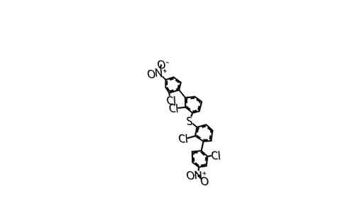 O=[N+]([O-])c1ccc(-c2cccc(Sc3cccc(-c4ccc([N+](=O)[O-])cc4Cl)c3Cl)c2Cl)c(Cl)c1